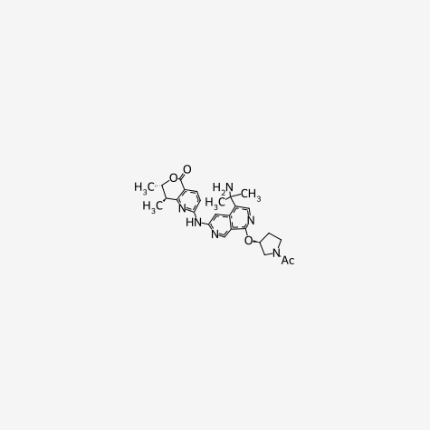 CC(=O)N1CC[C@H](Oc2ncc(C(C)(C)N)c3cc(Nc4ccc5c(n4)[C@@H](C)[C@H](C)OC5=O)ncc23)C1